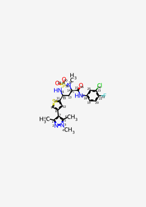 Cc1nn(C)c(C)c1-c1csc([C@@H]2C[C@H](C(=O)Nc3ccc(F)c(Cl)c3)N(C)S(=O)(=O)N2)c1